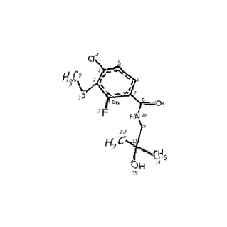 CSc1c(Cl)ccc(C(=O)NCC(C)(C)O)c1F